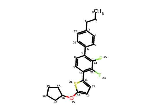 CCCc1ccc(-c2ccc(-c3ccc(OC4CCCC4)s3)c(F)c2F)cc1